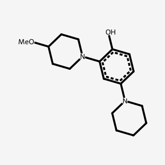 COC1CCN(c2cc(N3CCCCC3)ccc2O)CC1